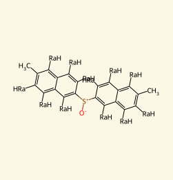 Cc1[c]([RaH])[c]([RaH])c2[c]([RaH])c([S+]([O-])c3[c]([RaH])[c]([RaH])c4[c]([RaH])c(C)[c]([RaH])[c]([RaH])c4[c]3[RaH])[c]([RaH])[c]([RaH])c2[c]1[RaH]